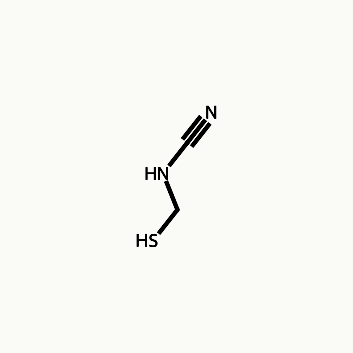 N#CNCS